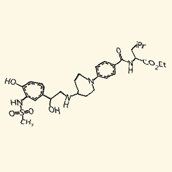 CCOC(=O)C(CC(C)C)NC(=O)c1ccc(N2CCC(NCC(O)c3ccc(O)c(NS(C)(=O)=O)c3)CC2)cc1